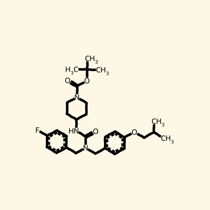 CC(C)COc1ccc(CN(Cc2ccc(F)cc2)C(=O)NC2CCN(C(=O)OC(C)(C)C)CC2)cc1